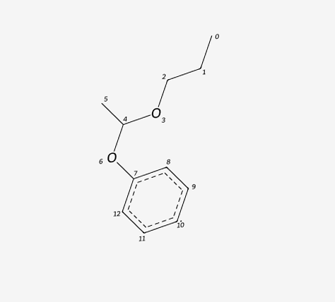 CCCOC(C)Oc1cc[c]cc1